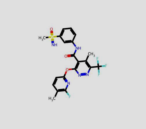 Cc1ccc(Oc2nnc(C(F)(F)F)c(C)c2C(=O)Nc2cccc(S(C)(=N)=O)c2)nc1F